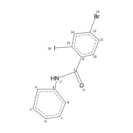 O=C(Nc1ccccc1)c1ccc(Br)cc1I